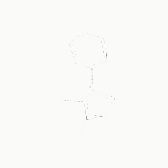 Cc1cnn(-c2ccccc2)c1Br